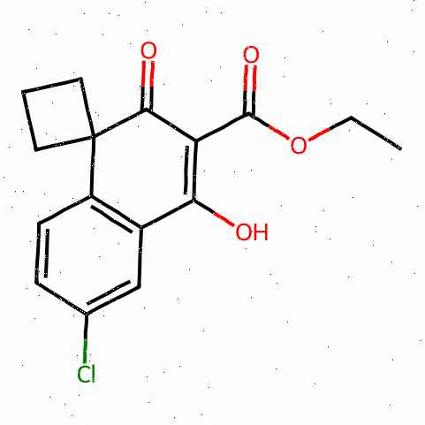 CCOC(=O)C1=C(O)c2cc(Cl)ccc2C2(CCC2)C1=O